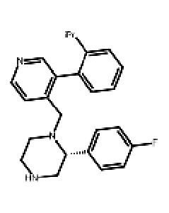 CC(C)c1ccccc1-c1cnccc1CN1CCNC[C@H]1c1ccc(F)cc1